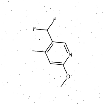 COc1cc(C)c(C(F)F)cn1